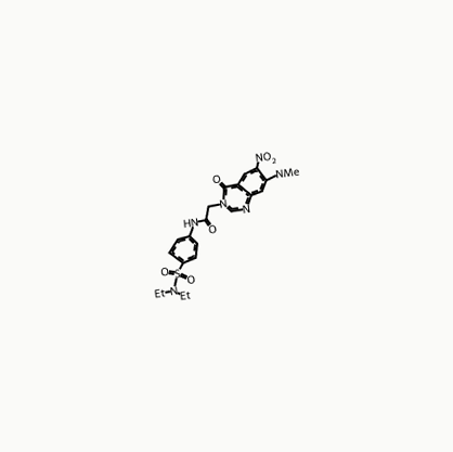 CCN(CC)S(=O)(=O)c1ccc(NC(=O)Cn2cnc3cc(NC)c([N+](=O)[O-])cc3c2=O)cc1